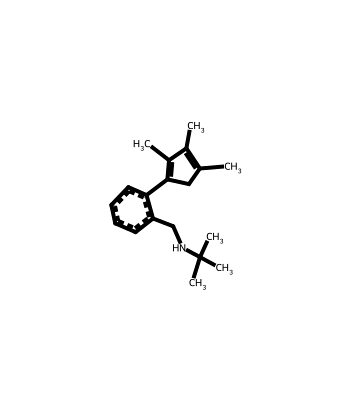 CC1=C(C)C(C)=C(c2ccccc2CNC(C)(C)C)C1